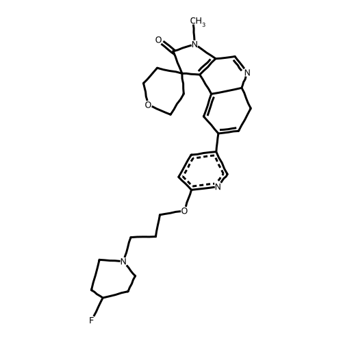 CN1C(=O)C2(CCOCC2)C2=C1C=NC1CC=C(c3ccc(OCCCN4CCC(F)CC4)nc3)C=C21